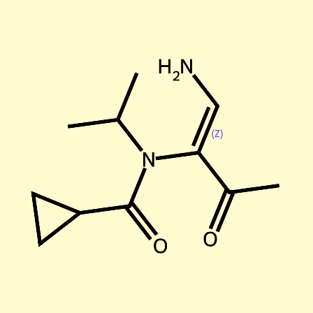 CC(=O)/C(=C/N)N(C(=O)C1CC1)C(C)C